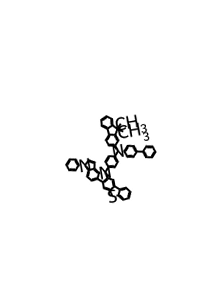 CC1(C)c2ccccc2-c2ccc(N(c3ccc(-c4ccccc4)cc3)c3ccc(-n4c5cc6c(cc5c5ccc7c(ccn7-c7ccccc7)c54)sc4ccccc46)cc3)cc21